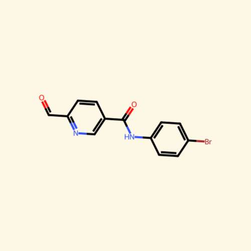 O=Cc1ccc(C(=O)Nc2ccc(Br)cc2)cn1